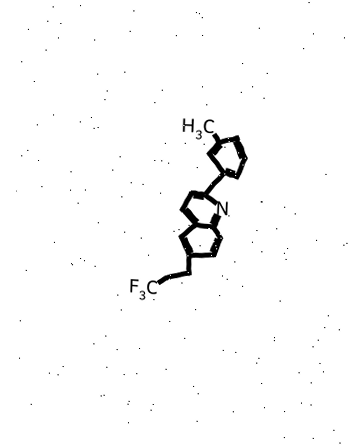 Cc1cccc(-c2ccc3cc(CCC(F)(F)F)ccc3n2)c1